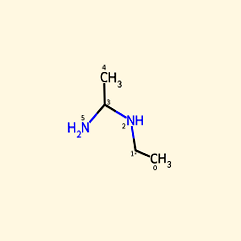 C[CH]NC(C)N